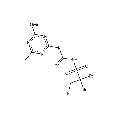 CCC(Br)(CBr)S(=O)(=O)NC(=O)Nc1nc(C)nc(OC)n1